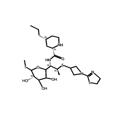 CCC[C@@H]1CCN[C@H](C(=O)N[C@@H](C2OC(SC)[C@@H](O)C(O)C2O)[C@H](C)SC2CN(C3=NCCS3)C2)C1